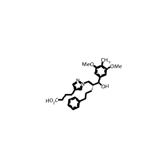 COc1cc(C(O)[C@H](CCCc2ccccc2)Cn2cc(CCCC(=O)O)cn2)cc(OC)c1C